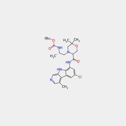 Cc1cncc2[nH]c3c(NC(=O)C4COC(C)(C)CN4C[C@H](C)NC(=O)OC(C)(C)C)cc(Cl)cc3c12